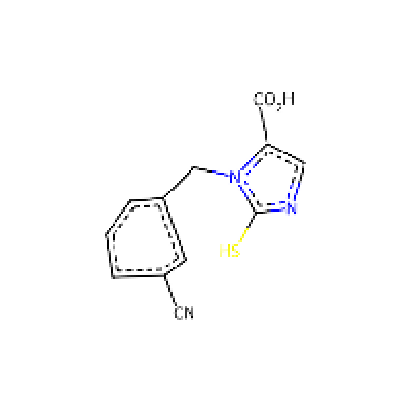 N#Cc1cccc(Cn2c(C(=O)O)cnc2S)c1